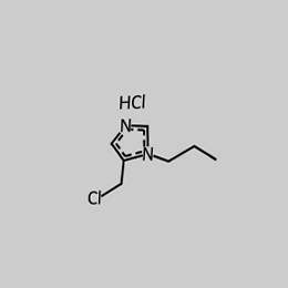 CCCn1cncc1CCl.Cl